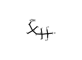 CC(C)(CO)CC(C)(C)C(I)(I)I